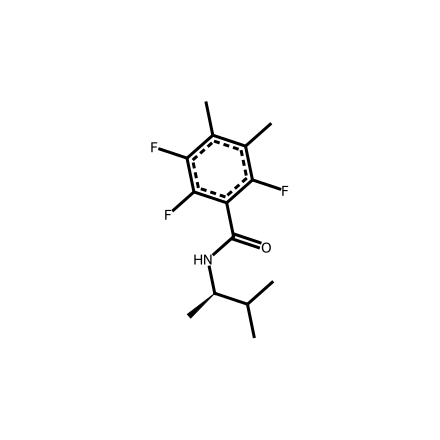 Cc1c(C)c(F)c(C(=O)N[C@H](C)C(C)C)c(F)c1F